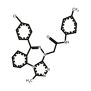 Cc1ccc(NC(=O)CN2N=C(c3ccc(Cl)cc3)c3ccccc3-n3c(C)nnc32)cc1